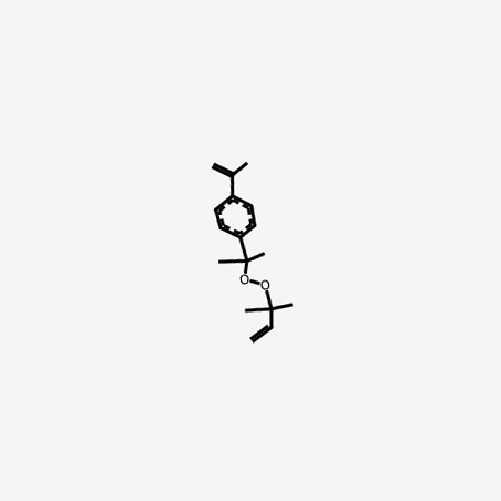 C=CC(C)(C)OOC(C)(C)c1ccc(C(=C)C)cc1